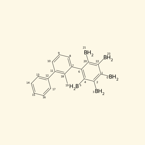 Bc1c(B)c(B)c(-c2cccc(-c3ccccc3)c2C)c(B)c1B